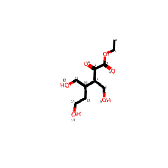 CCOC(=O)C(=O)C(CO)C(CO)CCO